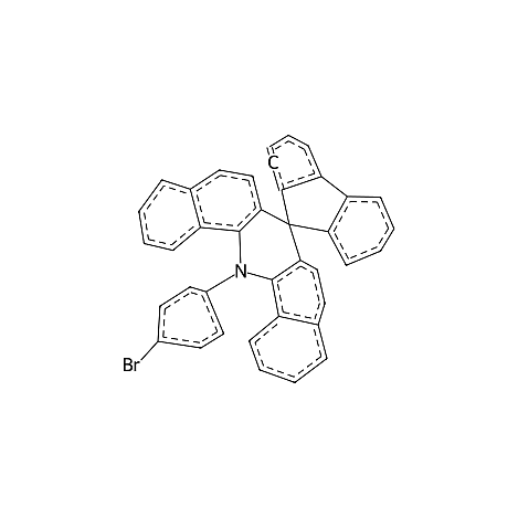 Brc1ccc(N2c3c(ccc4ccccc34)C3(c4ccccc4-c4ccccc43)c3ccc4ccccc4c32)cc1